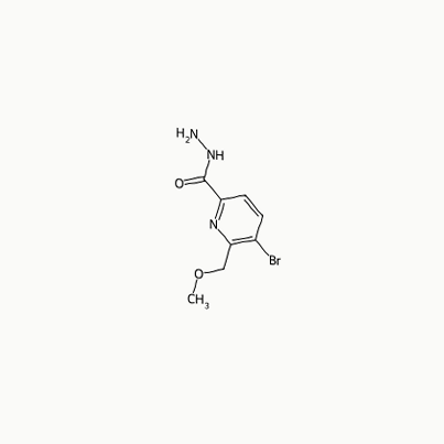 COCc1nc(C(=O)NN)ccc1Br